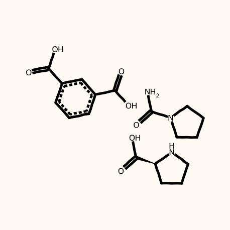 NC(=O)N1CCCC1.O=C(O)[C@@H]1CCCN1.O=C(O)c1cccc(C(=O)O)c1